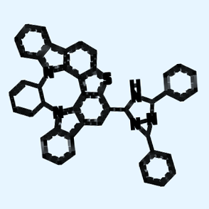 C1=CC2C(C=C1)n1c3ccccc3c3cc(C4NC(c5ccccc5)N5C(c6ccccc6)N45)c4sc5ccc6c7ccccc7n2c6c5c4c31